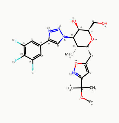 CCOC(C)(C)c1cc(C[C@H]2O[C@H](CO)[C@H](O)[C@H](n3cc(-c4cc(F)c(F)c(F)c4)nn3)[C@H]2OC)on1